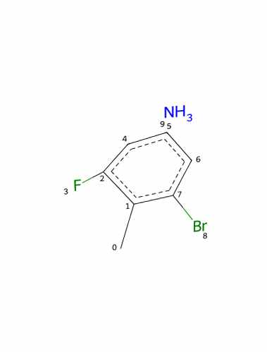 Cc1c(F)cccc1Br.N